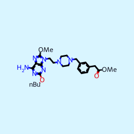 CCCCOc1nc(N)c2nc(OC)n(CCN3CCN(Cc4cccc(CC(=O)OC)c4)CC3)c2n1